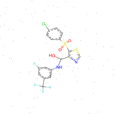 O=S(=O)(c1ccc(Cl)cc1)c1scnc1C(O)Nc1cc(F)cc(C(F)(F)F)c1